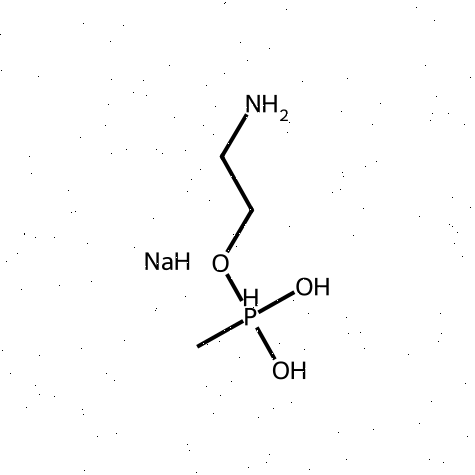 C[PH](O)(O)OCCN.[NaH]